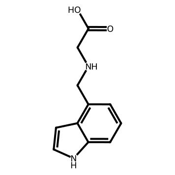 O=C(O)CNCc1cccc2[nH]ccc12